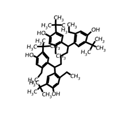 CCc1cc(O)c(C(C)(C)C)cc1C(CCCC(c1cc(C(C)(C)C)c(O)cc1CC)c1cc(C(C)(C)C)c(O)cc1CC)c1cc(C(C)(C)C)c(O)cc1CC